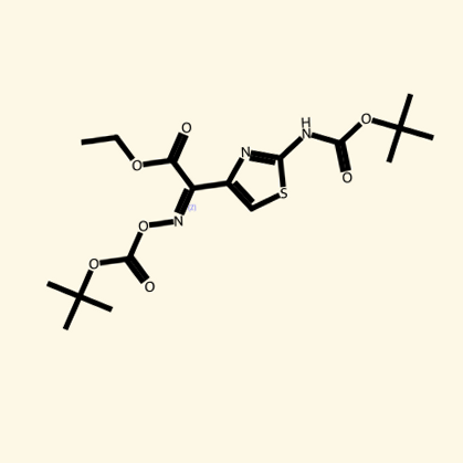 CCOC(=O)/C(=N\OC(=O)OC(C)(C)C)c1csc(NC(=O)OC(C)(C)C)n1